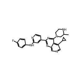 CC1CN(c2nc(-c3ccnc(Nc4ccc(F)cc4)c3)nc3cncc(C4CC4)c23)CCN1